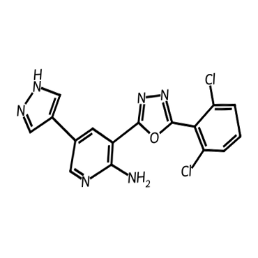 Nc1ncc(-c2cn[nH]c2)cc1-c1nnc(-c2c(Cl)cccc2Cl)o1